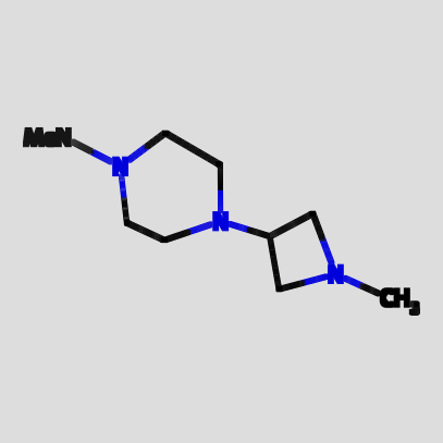 CNN1CCN(C2CN(C)C2)CC1